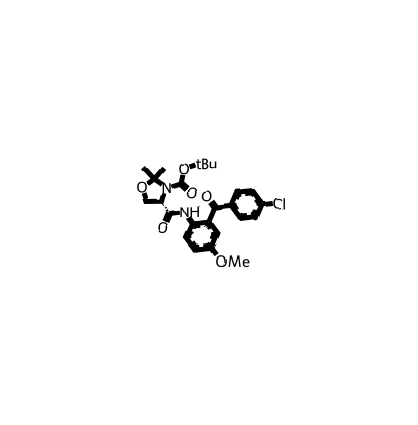 COc1ccc(NC(=O)[C@@H]2COC(C)(C)N2C(=O)OC(C)(C)C)c(C(=O)c2ccc(Cl)cc2)c1